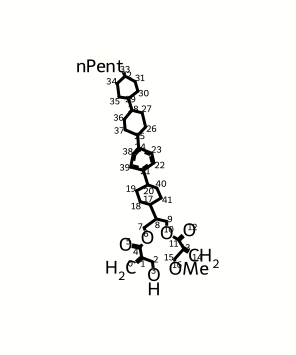 C=C(CO)C(=O)OCC(COC(=O)C(=C)COC)C1CCC(c2ccc(C3CCC(C4CCC(CCCCC)CC4)CC3)cc2)CC1